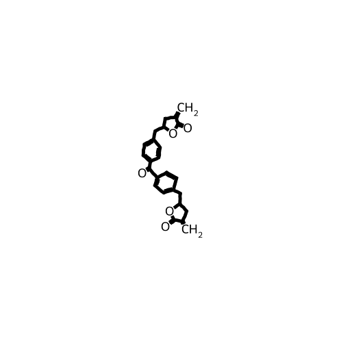 C=C1CC(Cc2ccc(C(=O)c3ccc(CC4CC(=C)C(=O)O4)cc3)cc2)OC1=O